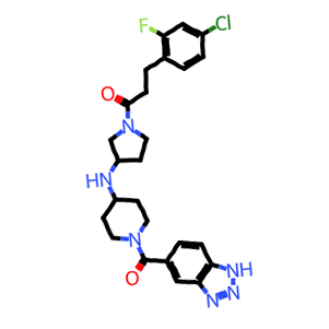 O=C(CCc1ccc(Cl)cc1F)N1CCC(NC2CCN(C(=O)c3ccc4[nH]nnc4c3)CC2)C1